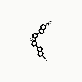 [C-]#[N+]c1ccc2cc(-c3ccc4oc5ccc(-c6ccc7cc(C#N)ccc7c6)cc5c4c3)ccc2c1